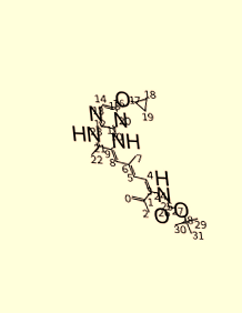 C=C(C)\C(=C/C=C(C)/C=C(\Nc1cncc(OC2CC2)n1)C(C)=N)NC(=O)OC(C)(C)C